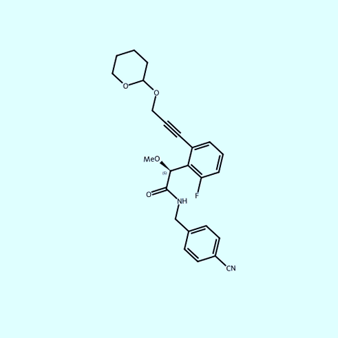 CO[C@H](C(=O)NCc1ccc(C#N)cc1)c1c(F)cccc1C#CCOC1CCCCO1